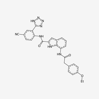 CCOc1ccc(CC(=O)Nc2cccc3cc(C(=O)Nc4ccc(C#N)cc4-c4nnn[nH]4)[nH]c23)cc1